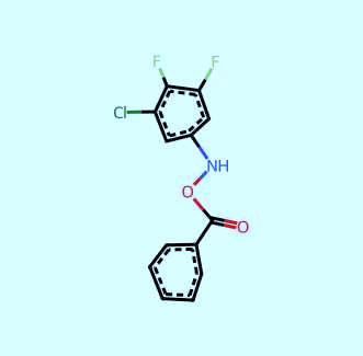 O=C(ONc1cc(F)c(F)c(Cl)c1)c1ccccc1